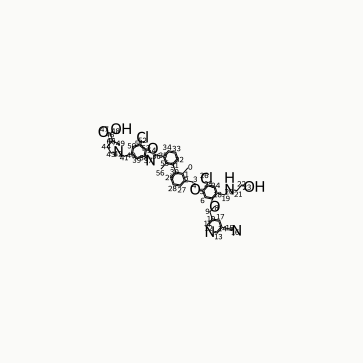 Cc1c(COc2cc(OCc3cncc(C#N)c3)c(CNCCO)cc2Cl)cccc1-c1cccc(-c2nc3cc(CN4CC[C@@H](C(=O)O)C4)cc(Cl)c3o2)c1C